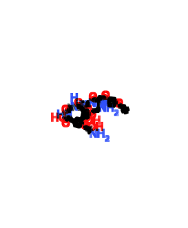 C[C@@H]1NC(=O)[C@@H](N(C)C(=O)CNC(=O)c2cnn(-c3ccc(OCCC(C)(C)C)cc3)c(=O)c2)c2cc(OCCCN)c(O)c(c2)-c2cc(ccc2OC[C@H](O)CN)C[C@@H](C(=O)O)NC1=O